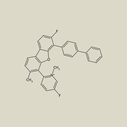 Cc1ccc2c(oc3c(-c4ccc(-c5ccccc5)cc4)c(F)ccc32)c1-c1ccc(F)c[n+]1C